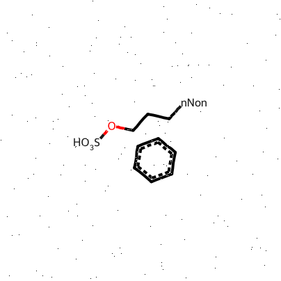 CCCCCCCCCCCCOS(=O)(=O)O.c1ccccc1